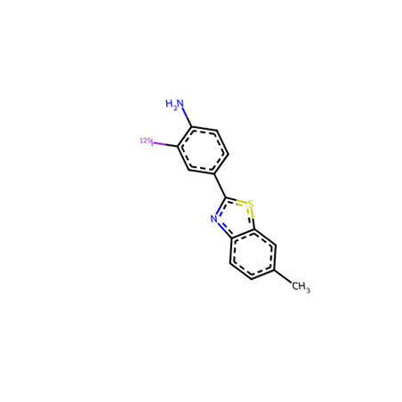 Cc1ccc2nc(-c3ccc(N)c([125I])c3)sc2c1